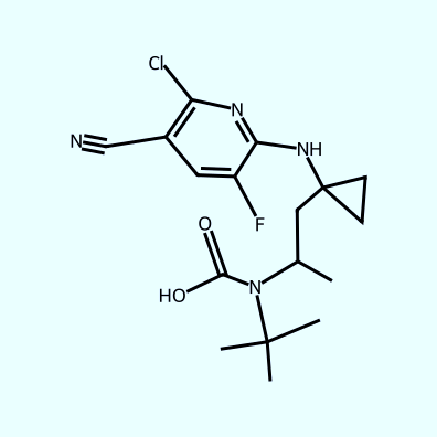 CC(CC1(Nc2nc(Cl)c(C#N)cc2F)CC1)N(C(=O)O)C(C)(C)C